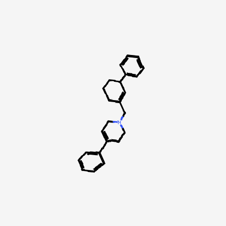 C1=C(CN2CC=C(c3ccccc3)CC2)CCCC1c1ccccc1